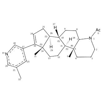 CC(=O)N1CCC[C@@]2(C)C1CC[C@@H]1[C@@H]2CC[C@]2(C)C(c3cncc(C)c3)=CC[C@@H]12